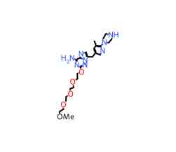 COCCOCCOCCOCCOc1nc(N)c2ncc(Cc3cnc(N4CCNCC4)c(C)c3)n2n1